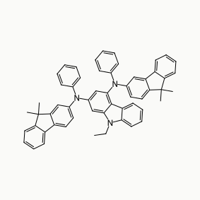 CCn1c2ccccc2c2c(N(c3ccccc3)c3ccc4c(c3)-c3ccccc3C4(C)C)cc(N(c3ccccc3)c3ccc4c(c3)C(C)(C)c3ccccc3-4)cc21